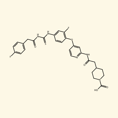 O=C(Cc1ccc(F)cc1)NC(=S)Nc1ccc(Oc2ccnc(NC(=O)CC3CCN(C(=O)O)CC3)c2)c(F)c1